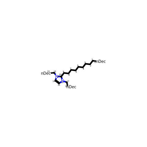 CCCCCCCCCCCCCCCCCCCC1N(CCCCCCCCCCC)C=CN1CCCCCCCCCCC